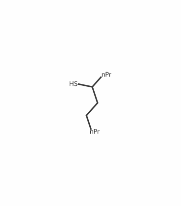 CCCCCC(S)CCC